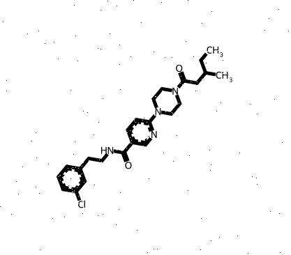 CCC(C)CC(=O)N1CCN(c2ccc(C(=O)NCCc3cccc(Cl)c3)cn2)CC1